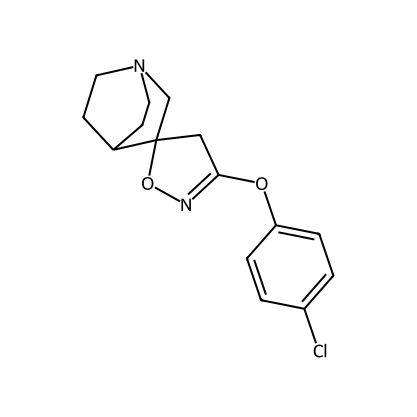 Clc1ccc(OC2=NOC3(C2)CN2CCC3CC2)cc1